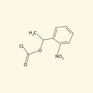 CC(OC(=O)Cl)c1ccccc1[N+](=O)[O-]